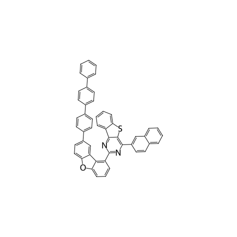 c1ccc(-c2ccc(-c3ccc(-c4ccc5oc6cccc(-c7nc(-c8ccc9ccccc9c8)c8sc9ccccc9c8n7)c6c5c4)cc3)cc2)cc1